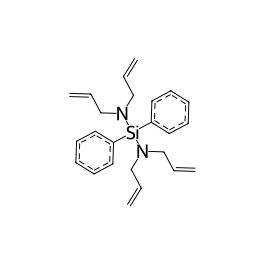 C=CCN(CC=C)[Si](c1ccccc1)(c1ccccc1)N(CC=C)CC=C